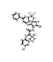 O=C1N[C@]2(CC(F)(F)c3cc(-c4cccnc4)ccc32)C(=O)N1CC(=O)N(Cc1ccc(F)cn1)C1(C(F)(F)F)COC1